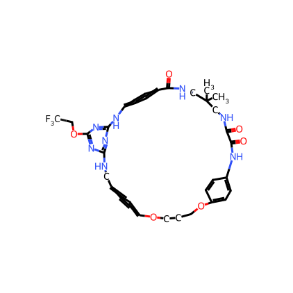 CC1(C)CNC(=O)C(=O)Nc2ccc(cc2)OCCCOc2ccc(cc2)CNc2nc(nc(OCC(F)(F)F)n2)Nc2ccc(cc2)C(=O)NC1